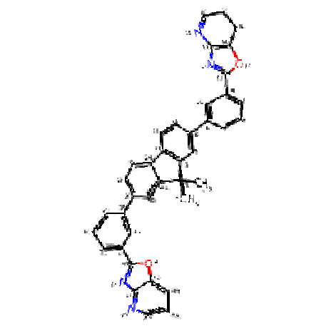 CC1(C)c2cc(-c3cccc(-c4nc5c(o4)CCC=N5)c3)ccc2-c2ccc(-c3cccc(-c4nc5ncccc5o4)c3)cc21